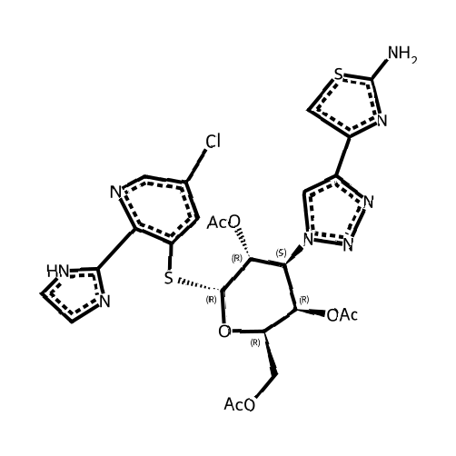 CC(=O)OC[C@H]1O[C@H](Sc2cc(Cl)cnc2-c2ncc[nH]2)[C@H](OC(C)=O)[C@@H](n2cc(-c3csc(N)n3)nn2)[C@H]1OC(C)=O